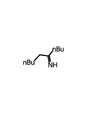 CCCCCC(=N)CCCC